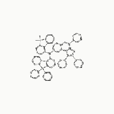 CC1(C)c2ccccc2-c2c(N(c3ccc4cc(-c5ccccc5)n5nc(-c6ccccc6)c(-c6ccccc6)c5c4c3)c3cccc4c3-c3ccccc3C4(c3ccccc3)c3ccccc3)cccc21